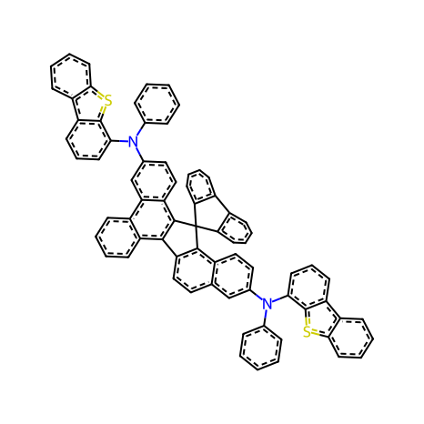 c1ccc(N(c2ccc3c4c(ccc3c2)-c2c(c3ccc(N(c5ccccc5)c5cccc6c5sc5ccccc56)cc3c3ccccc23)C42c3ccccc3-c3ccccc32)c2cccc3c2sc2ccccc23)cc1